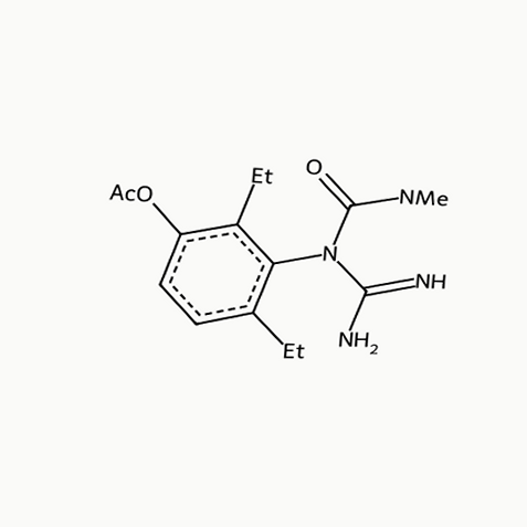 CCc1ccc(OC(C)=O)c(CC)c1N(C(=N)N)C(=O)NC